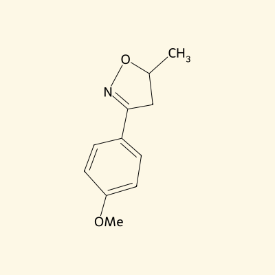 COc1ccc(C2=NOC(C)C2)cc1